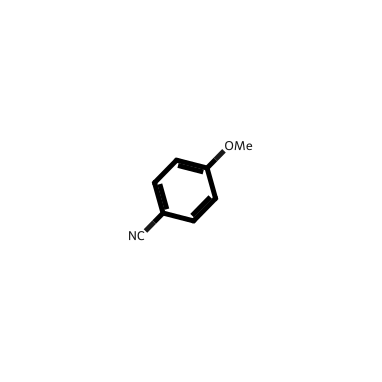 COc1ccc([13C]#N)cc1